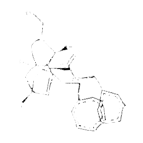 CC(C)CN1C[C@@H]2C[C@H]3C=N[C@]2(C(=O)NCc2ccccc2)[C@@H]1[C@@H]3CCc1ccccc1